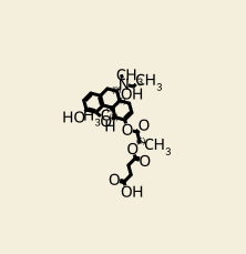 CCN(C)[C@@H]1Cc2ccc(O)c3c2[C@@]2(C)[C@@H](O3)C(OC(=O)[C@H](C)OC(=O)CCC(=O)O)=CC[C@@]12O